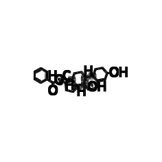 C[C@]12CC[C@H]3[C@@H](CCC4=CC(O)CC[C@@]43CO)[C@@H]1CCC2OC(=O)c1ccccc1